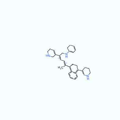 C/C(=C\C=C(/CNC1=CC=CCC1)C1=CCCNC1)C1=c2ccccc2=C(C2=CNCCC2)CC1